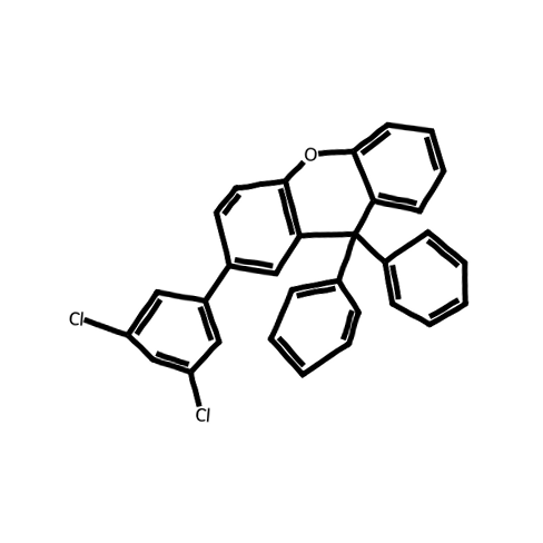 Clc1cc(Cl)cc(-c2ccc3c(c2)C(c2ccccc2)(c2ccccc2)c2ccccc2O3)c1